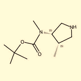 C[C@H]1CNC[C@H]1N(C)C(=O)OC(C)(C)C